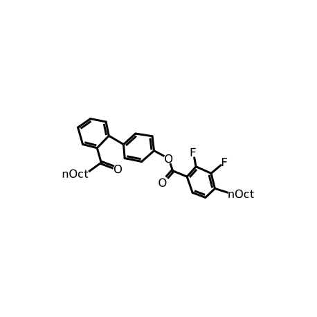 CCCCCCCCC(=O)c1ccccc1-c1ccc(OC(=O)c2ccc(CCCCCCCC)c(F)c2F)cc1